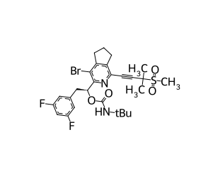 CC(C)(C)NC(=O)O[C@@H](Cc1cc(F)cc(F)c1)c1nc(C#CC(C)(C)S(C)(=O)=O)c2c(c1Br)CCC2